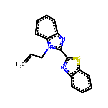 C=CCn1c(-c2nc3ccccc3s2)nc2ccccc21